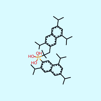 CC(C)c1cc(C(C)C)c2cc(CC(C)(C)P(O)(O)(O)c3cc4c(C(C)C)cc(C(C)C)cc4cc3C(C)C)c(C(C)C)cc2c1